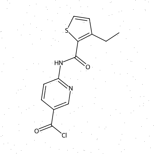 CCc1ccsc1C(=O)Nc1ccc(C(=O)Cl)cn1